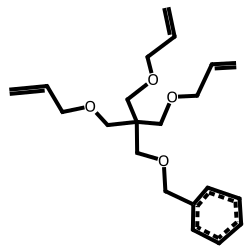 C=CCOCC(COCC=C)(COCC=C)COCc1ccccc1